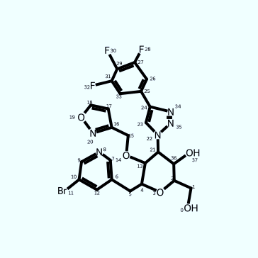 OCC1OC(Cc2cncc(Br)c2)C(OCc2ccon2)C(n2cc(-c3cc(F)c(F)c(F)c3)nn2)C1O